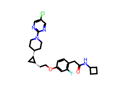 O=C(Cc1ccc(OCC[C@@H]2C[C@@H]2C2CCN(c3ncc(Cl)cn3)CC2)cc1F)NC1CCC1